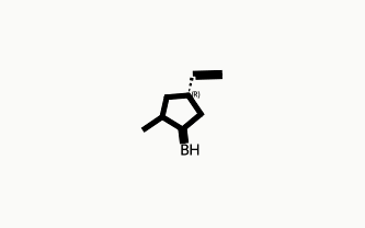 B=C1C[C@@H](C=C)CC1C